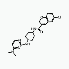 CN(C)c1ccnc(NC2CCC(NC(=O)C3=Cc4cc(Cl)ccc4OC3)CC2)n1